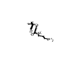 BCCCNC(=O)OC(C)(C)C